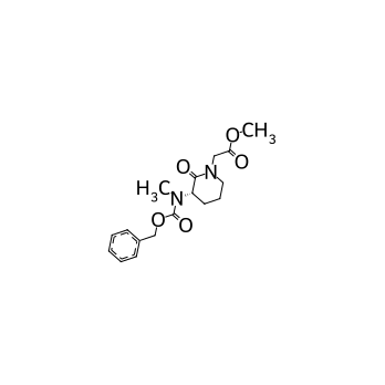 COC(=O)CN1CCC[C@H](N(C)C(=O)OCc2ccccc2)C1=O